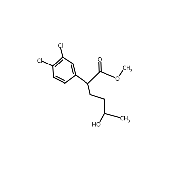 COC(=O)C(CCC(C)O)c1ccc(Cl)c(Cl)c1